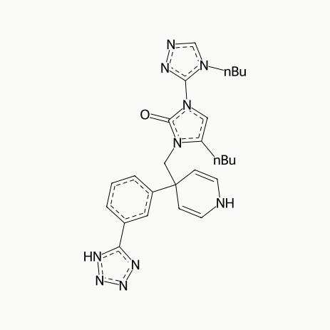 CCCCc1cn(-c2nncn2CCCC)c(=O)n1CC1(c2cccc(-c3nnn[nH]3)c2)C=CNC=C1